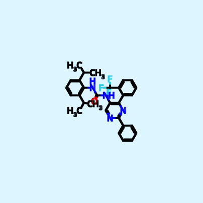 CC(C)c1cccc(C(C)C)c1NC(=O)Nc1cnc(-c2ccccc2)nc1-c1ccccc1C(F)(F)F